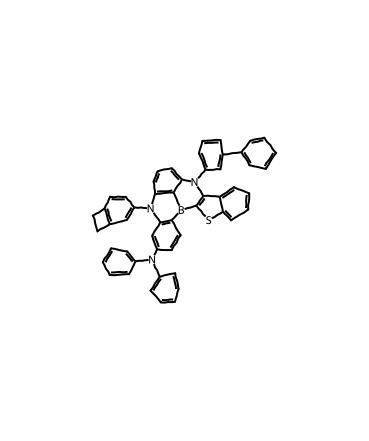 c1ccc(-c2cccc(N3c4cccc5c4B(c4ccc(N(c6ccccc6)c6ccccc6)cc4N5c4ccc5c(c4)CC5)c4sc5ccccc5c43)c2)cc1